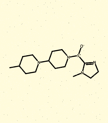 CC1CCN(C2CCN([S+]([O-])C3=NCCN3C)CC2)CC1